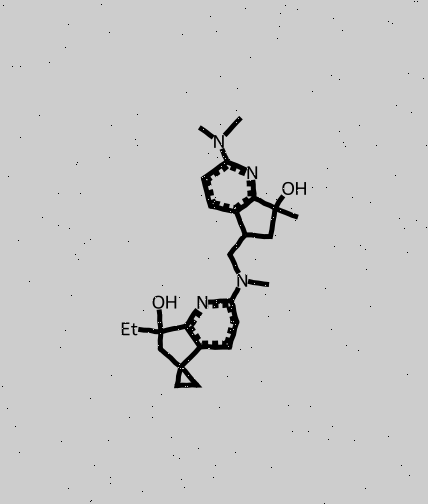 CCC1(O)CC2(CC2)c2ccc(N(C)CC3CC(C)(O)c4nc(N(C)C)ccc43)nc21